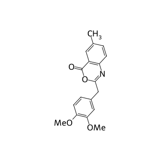 COc1ccc(Cc2nc3ccc(C)cc3c(=O)o2)cc1OC